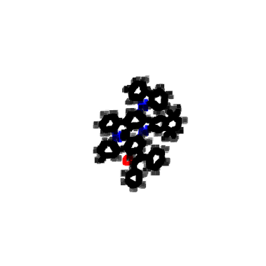 Cc1ccc(N2B3c4cc5oc(-c6ccccc6)c(-c6ccccc6)c5cc4-n4c5cc6c(cc5c5c(-n7c8ccccc8c8ccccc87)cc(c3c54)-c3ccccc32)C(C)(C)CCC6(C)C)cc1